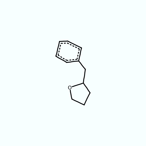 c1ccc(CC2CCCO2)cc1